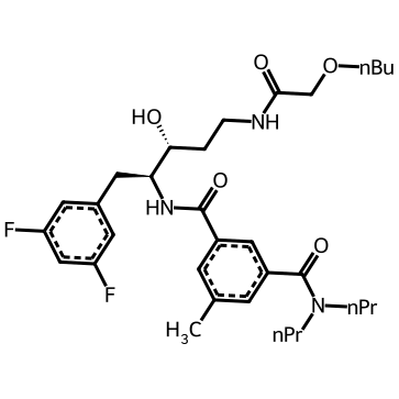 CCCCOCC(=O)NCC[C@@H](O)[C@H](Cc1cc(F)cc(F)c1)NC(=O)c1cc(C)cc(C(=O)N(CCC)CCC)c1